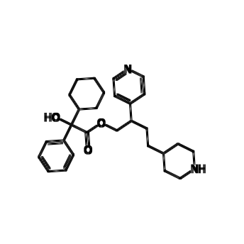 O=C(OCC(CCC1CCNCC1)c1ccncc1)C(O)(c1ccccc1)C1CCCCC1